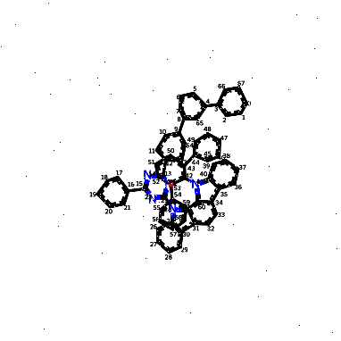 c1ccc(-c2cccc(-c3ccc(-c4nc(-c5ccccc5)nc(-n5c6ccccc6c6ccc7c8ccccc8n(-c8c(-c9ccccc9)cccc8-c8ccccc8)c7c65)n4)cc3)c2)cc1